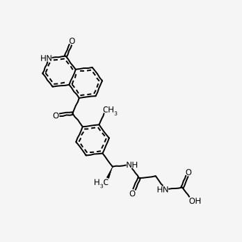 Cc1cc([C@H](C)NC(=O)CNC(=O)O)ccc1C(=O)c1cccc2c(=O)[nH]ccc12